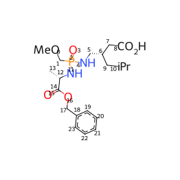 COCP(=O)(NC[C@H](CC(=O)O)CC(C)C)N[C@@H](C)C(=O)OCc1ccccc1